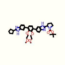 COCCOc1c(-c2ccc3nc(C4CCCC4)[nH]c3c2)ccc(-c2ccc3nc(C4CCCN4C(=O)OC(C)(C)C)[nH]c3c2)c1OCCOC